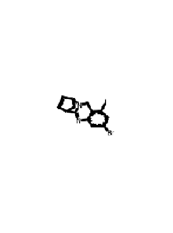 Brc1cc(I)c2c(c1)N=C1C3C=CC(C3)N1C2